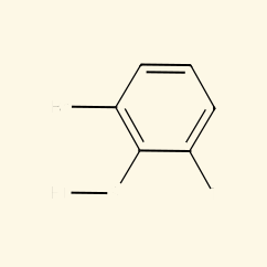 CCSc1c(Br)cccc1I